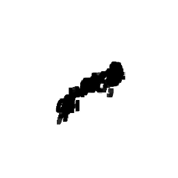 O=[PH](O)OCCCNCc1ccc(SCCCCC2(c3ccccc3F)CCCCC2)c(C(F)(F)F)c1